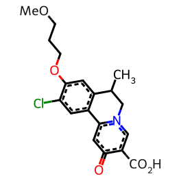 COCCCOc1cc2c(cc1Cl)-c1cc(=O)c(C(=O)O)cn1CC2C